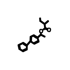 CCC(C)C(=O)OC(C)c1ccc(-c2ccccc2)cc1